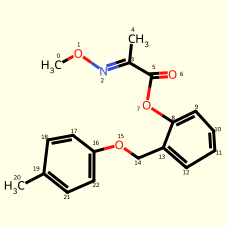 CON=C(C)C(=O)Oc1ccccc1COc1ccc(C)cc1